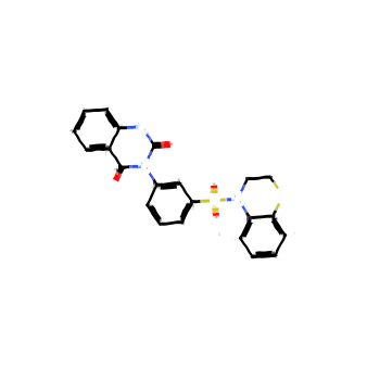 O=c1[nH]c2ccccc2c(=O)n1-c1cccc(S(=O)(=O)N2CCSc3ccccc32)c1